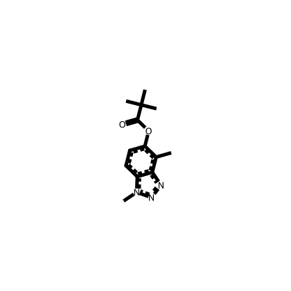 Cc1c(OC(=O)C(C)(C)C)ccc2c1nnn2C